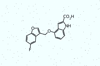 O=C(O)c1cc2c(OCc3coc4ccc(F)cc34)cccc2[nH]1